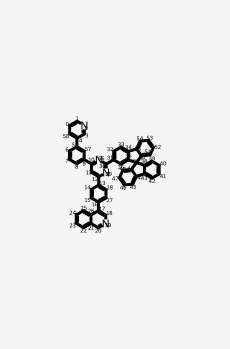 c1cncc(-c2cccc(-c3cc(-c4ccc(-c5cncc6ccccc56)cc4)nc(-c4ccc5c(c4)C4(c6ccccc6-c6ccccc64)c4ccccc4-5)n3)c2)c1